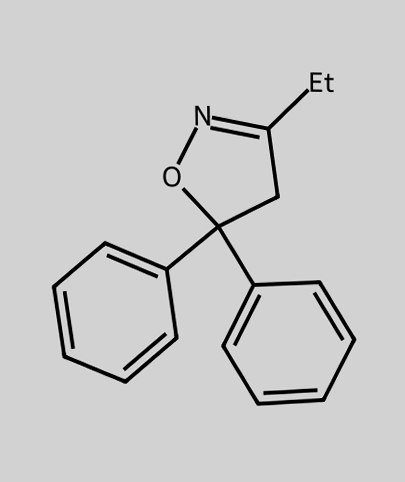 [CH2]CC1=NOC(c2ccccc2)(c2ccccc2)C1